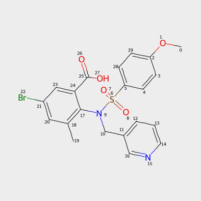 COc1ccc(S(=O)(=O)N(Cc2cccnc2)c2c(C)cc(Br)cc2C(=O)O)cc1